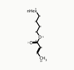 [CH2]CCCCCCCCCOC(=O)C=CC